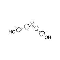 Cc1cc(C2CCN(C(=O)N3CCC(c4ccc(O)c(C)c4)CC3)CC2)ccc1O